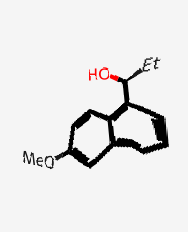 CC[C@H](O)c1cccc2cc(OC)ccc12